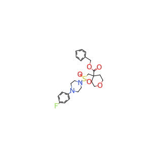 O=C(OCc1ccccc1)C1(CS(=O)(=O)N2CCN(c3ccc(F)cc3)CC2)CCOCC1